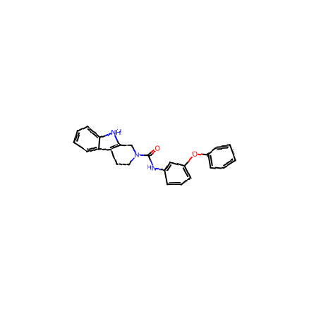 O=C(Nc1cccc(Oc2ccccc2)c1)N1CCc2c([nH]c3ccccc23)C1